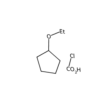 CCOC1CCCC1.O=C(O)Cl